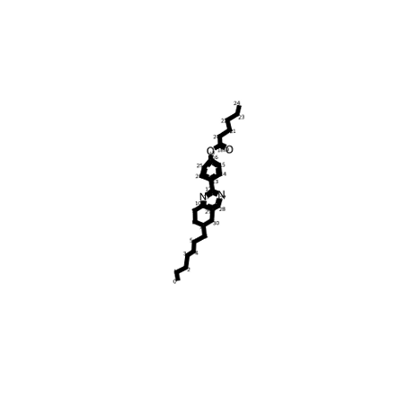 CCCCCCCC1CCc2nc(-c3ccc(OC(=O)CCCCC)cc3)ncc2C1